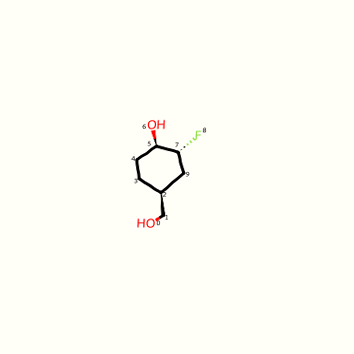 OC[C@H]1CC[C@@H](O)[C@H](F)C1